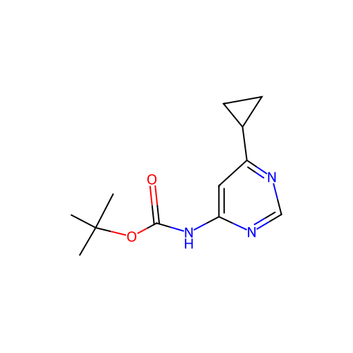 CC(C)(C)OC(=O)Nc1cc(C2CC2)ncn1